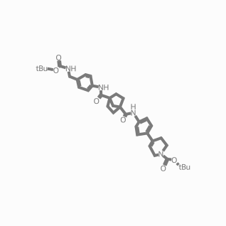 CC(C)(C)OC(=O)NCc1ccc(NC(=O)C23CCC(C(=O)Nc4ccc(C5=CCN(C(=O)OC(C)(C)C)CC5)cc4)(CC2)C3)cc1